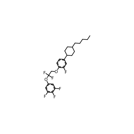 CCCCCC1CCC(c2ccc(OCC(F)(F)Oc3cc(F)c(F)c(F)c3)c(F)c2)CC1